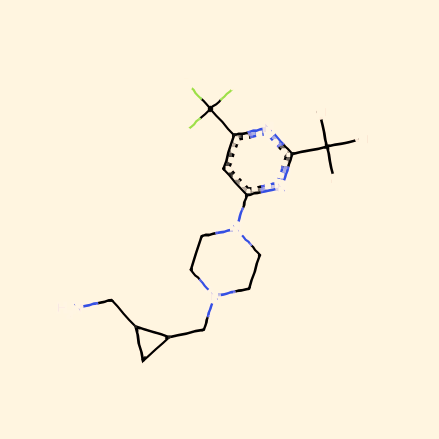 CC(C)(C)c1nc(N2CCN(CC3CC3CN)CC2)cc(C(F)(F)F)n1